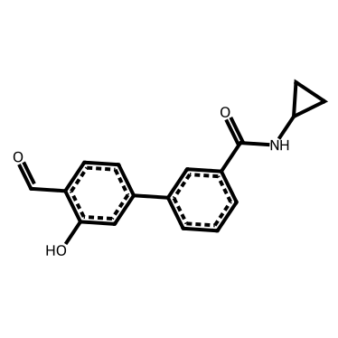 O=Cc1ccc(-c2cccc(C(=O)NC3CC3)c2)cc1O